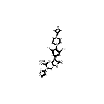 CC(C)(C)OC(=O)N(C[C@H]1CN(c2cc(F)c(N3CCN(C4COC4)CC3)c(F)c2)C(=O)O1)c1ccon1